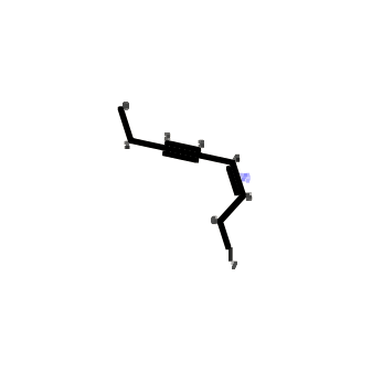 CCC#C/C=C\CI